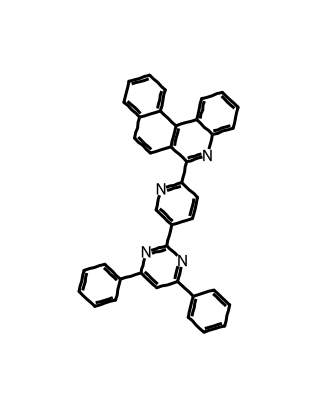 c1ccc(-c2cc(-c3ccccc3)nc(-c3ccc(-c4nc5ccccc5c5c4ccc4ccccc45)nc3)n2)cc1